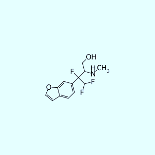 CNC(CO)C(F)(c1ccc2ccoc2c1)C(F)F